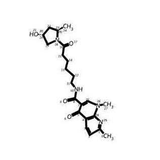 Cc1ccc2c(=O)c(C(=O)NCCCCCC(=O)N3C[C@H](O)C[C@H]3C)cn(C)c2n1